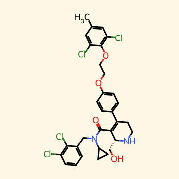 Cc1cc(Cl)c(OCCOc2ccc(C3=C(C(=O)N(Cc4cccc(Cl)c4Cl)C4CC4)[C@@H](CO)NCC3)cc2)c(Cl)c1